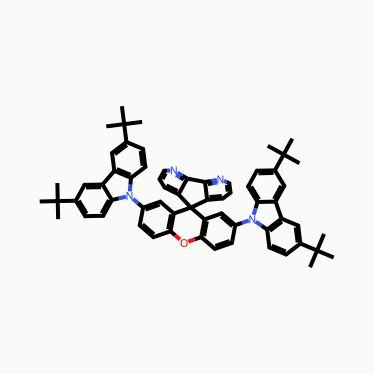 CC(C)(C)c1ccc2c(c1)c1cc(C(C)(C)C)ccc1n2-c1ccc2c(c1)C1(c3cc(-n4c5ccc(C(C)(C)C)cc5c5cc(C(C)(C)C)ccc54)ccc3O2)c2cccnc2-c2ncccc21